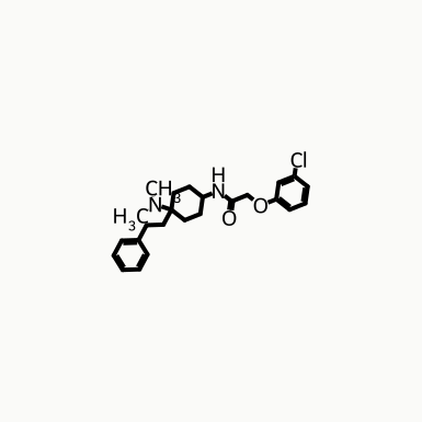 CN(C)C1(CCc2ccccc2)CCC(NC(=O)COc2cccc(Cl)c2)CC1